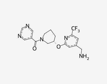 NCc1cc(O[C@H]2CCCN(C(=O)c3cncnc3)C2)nc(C(F)(F)F)c1